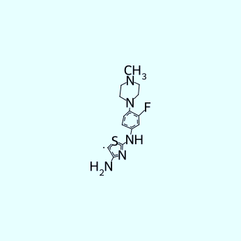 CN1CCN(c2ccc(Nc3nc(N)[c]s3)cc2F)CC1